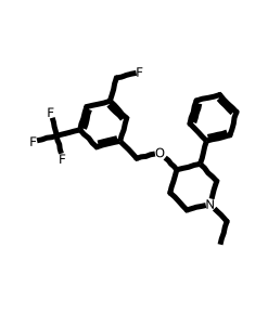 CCN1CCC(OCc2cc(CF)cc(C(F)(F)F)c2)C(c2ccccc2)C1